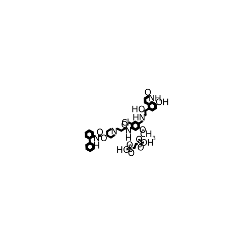 COc1cc(NC(=O)CCN2CCC(OC(=O)Nc3ccccc3-c3ccccc3)CC2)c(Cl)cc1CNC[C@H](O)c1ccc(O)c2[nH]c(=O)ccc12.O=S(=O)(O)CCS(=O)(=O)O